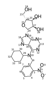 O=[N+]([O-])c1ccccc1CN(c1ncnc2c1ncn2[C@@H]1O[C@H](CO)[C@@H](O)[C@H]1O)C1CCCCC1